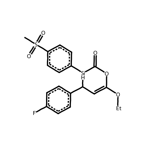 CCOC1=CC(c2ccc(F)cc2)[SiH](c2ccc(S(C)(=O)=O)cc2)C(=O)O1